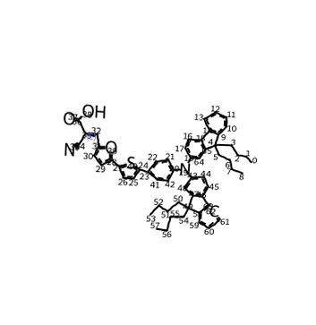 CCCCC1(CCCC)c2ccccc2-c2ccc(N(c3ccc(-c4ccc(-c5ccc(/C=C(\C#N)C(=O)O)o5)s4)cc3)c3ccc4c(c3)C(CCCC)(CCCC)c3ccccc3-4)cc21